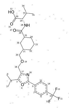 CC(C)c1oc(-c2ccc(C(F)(F)F)cc2)nc1COCC1CCCC(C(=O)N[C@H](C(=O)O)C(C)C)C1